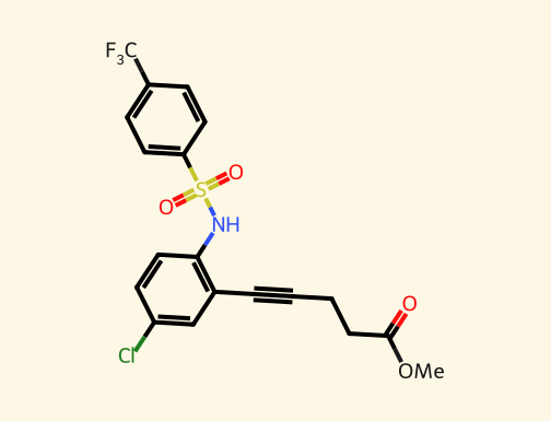 COC(=O)CCC#Cc1cc(Cl)ccc1NS(=O)(=O)c1ccc(C(F)(F)F)cc1